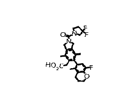 Cc1c(-c2c(C)c3c(c(C)c2CC(=O)O)CN(C(=O)N2CCC(F)(F)C2)C3)cc(F)c2c1CCCO2